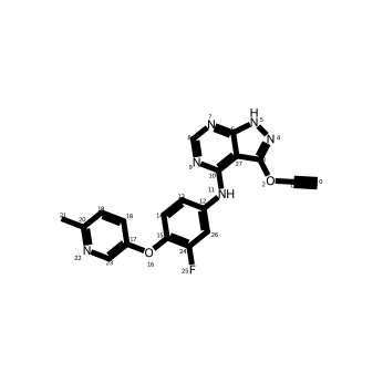 C#COc1n[nH]c2ncnc(Nc3ccc(Oc4ccc(C)nc4)c(F)c3)c12